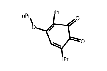 CCCOC1=C(C(C)C)C(=O)C(=O)C(C(C)C)=C1